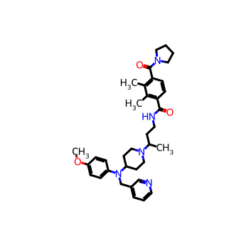 COc1ccc(N(Cc2cccnc2)C2CCN(C(C)CCNC(=O)c3ccc(C(=O)N4CCCC4)c(C)c3C)CC2)cc1